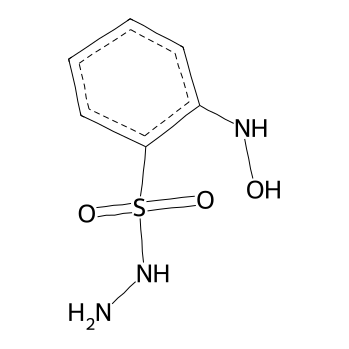 NNS(=O)(=O)c1ccccc1NO